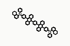 c1ccc(N(c2ccc(-c3c4ccccc4c(-c4ccc(-c5c6ccccc6c(-c6ccc(N(c7ccccc7)c7cccc8c7CCCC8)cc6)c6ccccc56)cc4)c4ccccc34)cc2)c2cccc3c2CCCC3)cc1